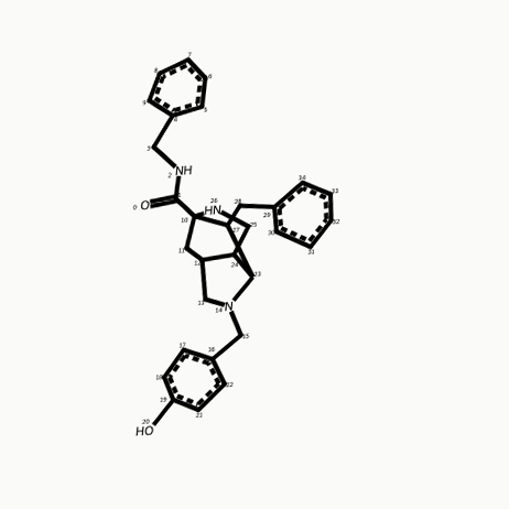 O=C(NCc1ccccc1)C12CC3CN(Cc4ccc(O)cc4)C(C3CN1)C2Cc1ccccc1